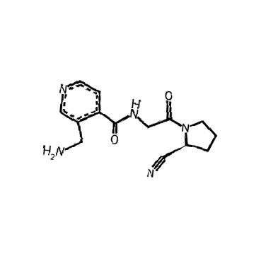 N#C[C@@H]1CCCN1C(=O)CNC(=O)c1ccncc1CN